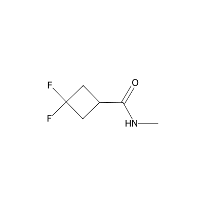 CNC(=O)C1CC(F)(F)C1